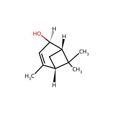 CC1=C[C@@H](O)[C@H]2C[C@@H]1C2(C)C